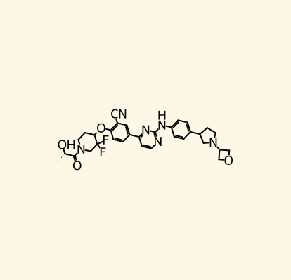 C[C@H](O)C(=O)N1CCC(Oc2ccc(-c3ccnc(Nc4ccc(C5CCN(C6COC6)C5)cc4)n3)cc2C#N)C(F)(F)C1